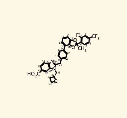 CC1(c2ccc(C(F)(F)F)cc2F)Oc2cccc(-c3ccc(Cc4nc5ccc(C(=O)O)cc5n4C[C@@H]4CCO4)cc3)c2O1